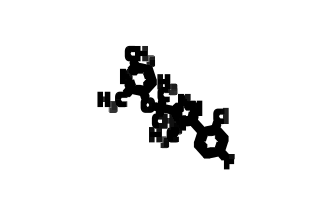 Cc1ccc(OC(C)(C)c2nnc(-c3ccc(F)cc3Cl)n2C)c(C)n1